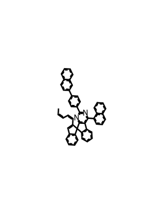 C/C=C\C=C/C1=Cc2ccccc2C12c1ccccc1-c1c(-c3cccc4ccccc34)nc(-c3ccc(-c4ccc5ccccc5c4)cc3)nc12